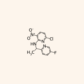 CC(Nc1nc(Cl)ccc1[N+](=O)[O-])c1ccc(F)cn1